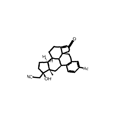 CC(=O)c1ccc2c(c1)C[C@]13CCC(=O)C=C1CC[C@@H]1C3C2C[C@@]2(C)[C@H]1CC[C@@]2(O)CC#N